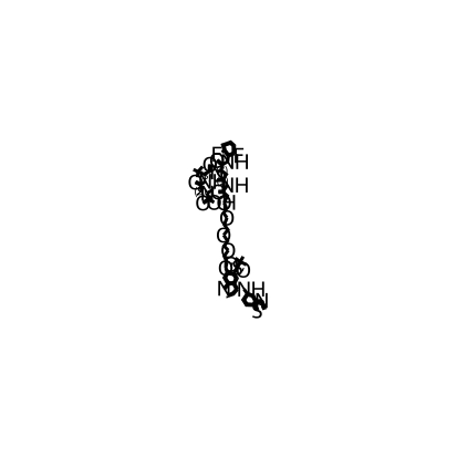 C[C@@H](C(=O)N[C@H](C(=O)N1C[C@@H](NC(=O)COCCOCCOCCOCCOc2cc3nccc(Nc4ccc5scnc5c4)c3cc2S(=O)(=O)C(C)(C)C)C[C@H]1C(=O)Nc1c(F)cccc1F)C(C)(C)C)N(C)C(=O)O